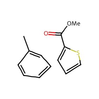 COC(=O)c1cccs1.Cc1ccccc1